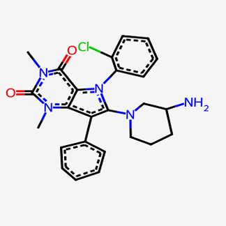 Cn1c(=O)c2c(c(-c3ccccc3)c(N3CCCC(N)C3)n2-c2ccccc2Cl)n(C)c1=O